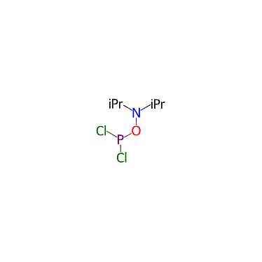 CC(C)N(OP(Cl)Cl)C(C)C